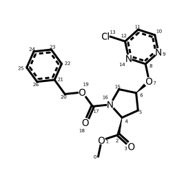 COC(=O)[C@@H]1C[C@H](Oc2nccc(Cl)n2)CN1C(=O)OCc1ccccc1